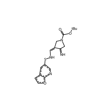 CC(C)(C)OC(=O)N1CC(=N)/C(=C\NSc2cnc3occc3c2)C1